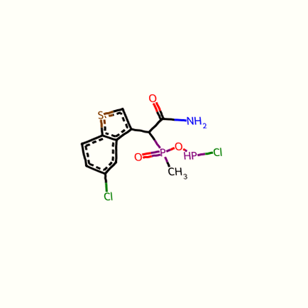 CP(=O)(OPCl)C(C(N)=O)c1csc2ccc(Cl)cc12